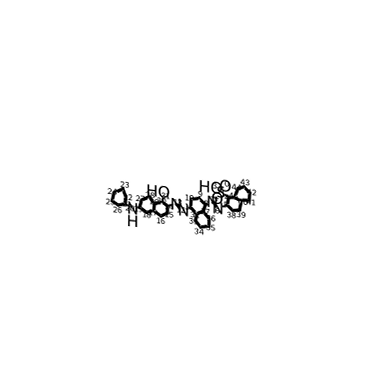 O=S(=O)(O)c1c(N=Nc2ccc(N=Nc3ccc4cc(Nc5ccccc5)ccc4c3O)c3ccccc23)ccc2ccccc12